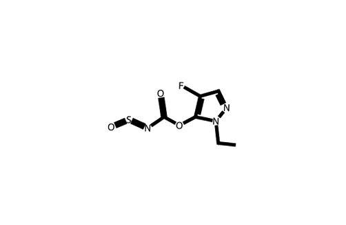 CCn1ncc(F)c1OC(=O)N=S=O